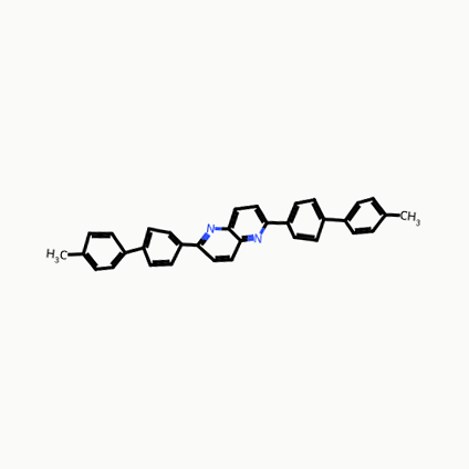 Cc1ccc(-c2ccc(-c3ccc4nc(-c5ccc(-c6ccc(C)cc6)cc5)ccc4n3)cc2)cc1